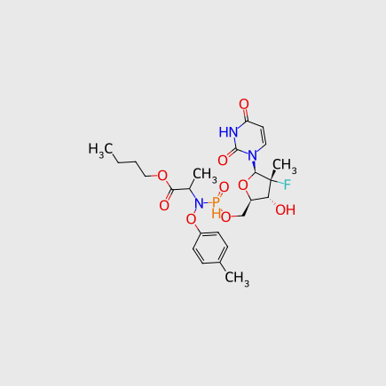 CCCCOC(=O)C(C)N(Oc1ccc(C)cc1)[PH](=O)OC[C@H]1O[C@@H](n2ccc(=O)[nH]c2=O)[C@](C)(F)[C@@H]1O